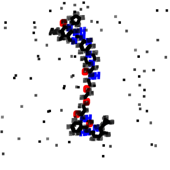 CC(=O)c1c(C)c2cnc(Nc3ccc(N4CCN(CC(=O)NCCOCCOCCC(=O)Nc5ccccc5C(=O)Nc5ccc(C)c(C6CC6)n5)CC4)cn3)nc2n(C2CCCC2)c1=O